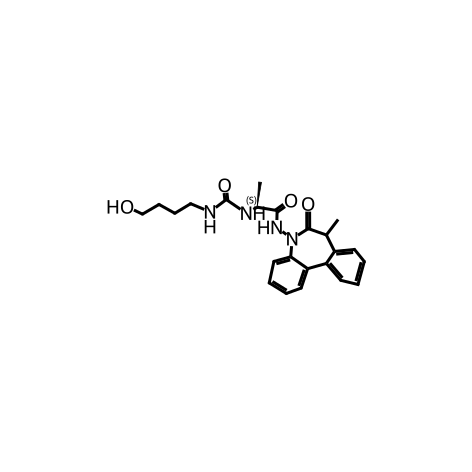 CC1C(=O)N(NC(=O)[C@H](C)NC(=O)NCCCCO)c2ccccc2-c2ccccc21